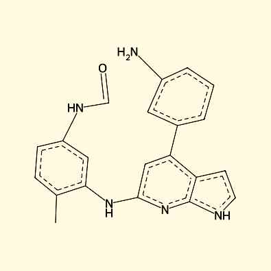 Cc1ccc(NC=O)cc1Nc1cc(-c2cccc(N)c2)c2cc[nH]c2n1